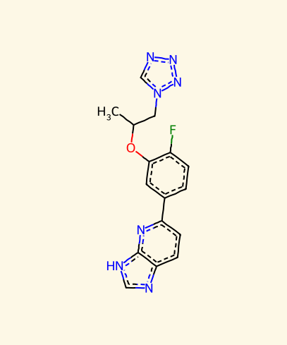 CC(Cn1cnnn1)Oc1cc(-c2ccc3nc[nH]c3n2)ccc1F